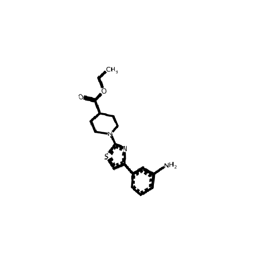 CCOC(=O)C1CCN(c2nc(-c3cccc(N)c3)cs2)CC1